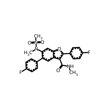 CNC(=O)c1c(-c2ccc(F)cc2)oc2cc(N(C)S(C)(=O)=O)c(-c3ccc(F)cc3)cc12